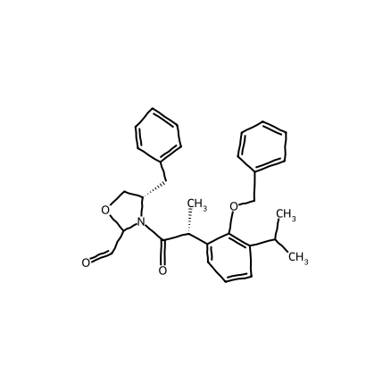 CC(C)c1cccc([C@@H](C)C(=O)N2C(C=O)OC[C@@H]2Cc2ccccc2)c1OCc1ccccc1